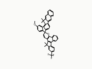 COc1ccc(C2(c3ccc4c(c3)C(C)(C)c3cc5ccccc5cc3-4)C=Cc3c4c(c5ccccc5c3O2)-c2ccc(C(F)(F)F)cc2C4(C)C)cc1